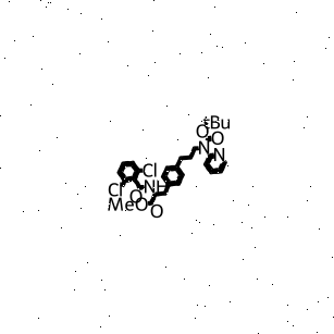 COC(=O)C(Cc1ccc(CCCN(C(=O)OC(C)(C)C)c2ccccn2)cc1)NC(=O)c1c(Cl)cccc1Cl